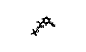 C[C@H](NSOC(C)(C)C)c1cccc(C#N)c1